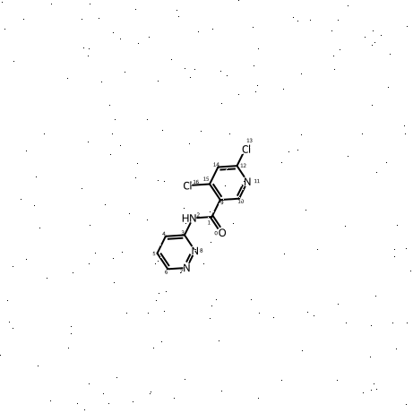 O=C(Nc1cccnn1)c1cnc(Cl)cc1Cl